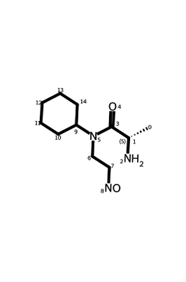 C[C@H](N)C(=O)N(CCN=O)C1CCCCC1